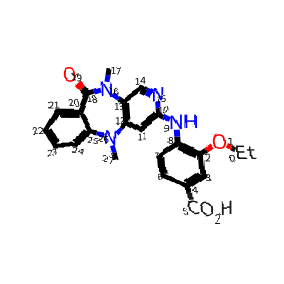 CCOc1cc(C(=O)O)ccc1Nc1cc2c(cn1)N(C)C(=O)c1ccccc1N2C